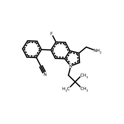 CC(C)(C)Cn1cc(CN)c2cc(F)c(-c3ccccc3C#N)cc21